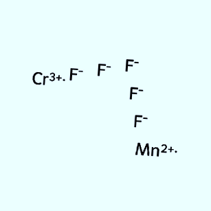 [Cr+3].[F-].[F-].[F-].[F-].[F-].[Mn+2]